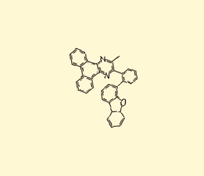 Cc1nc2c3ccccc3c3ccccc3c2nc1-c1ccccc1-c1cccc2c1OC1C=CC=CC21